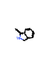 C=C1NCC2C=CC=CC12